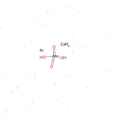 [CaH2].[O]=[Mn](=[O])([OH])[OH].[Pr]